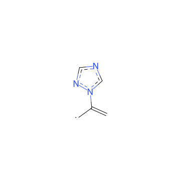 [CH2]C(=C)n1cncn1